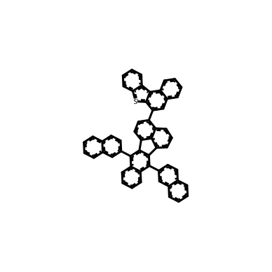 c1ccc2cc(-c3c4c(c(-c5ccc6ccccc6c5)c5ccccc35)-c3ccc(-c5cc6ccccc6c6c5sc5ccccc56)c5cccc-4c35)ccc2c1